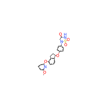 COc1cccc(Oc2cccc3c2CC[C@H]3Oc2ccc(N3CC(=O)NS3(=O)=O)cc2)n1